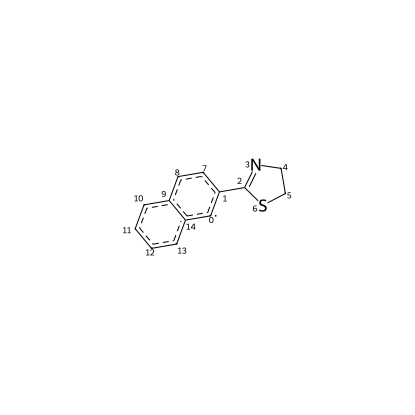 [c]1c(C2=NCCS2)ccc2ccccc12